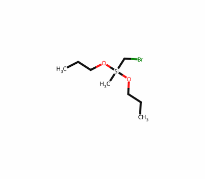 CCCO[Si](C)(CBr)OCCC